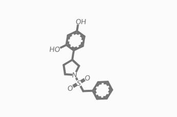 O=S(=O)(Cc1ccccc1)N1CCC(c2ccc(O)cc2O)C1